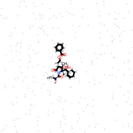 CCCC(I)[C@@H]1OC[C@]2([C@H](O)[C@@H]3C=CCCC3)N1C(=O)[C@H](CCOC(=O)c1ccccc1)[C@]2(C)O